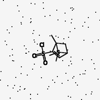 CC12CC(C=C1S(=O)(=O)Cl)S2(C)C